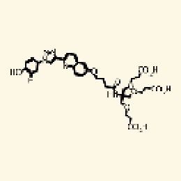 O=C(O)CCOCC(COCCC(=O)O)(COCCC(=O)O)NC(=O)CCCOc1ccc2nc(-c3cn(-c4ccc(O)c(F)c4)nn3)ccc2c1